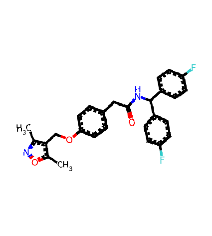 Cc1noc(C)c1COc1ccc(CC(=O)NC(c2ccc(F)cc2)c2ccc(F)cc2)cc1